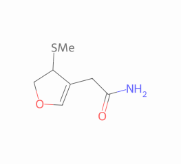 CSC1COC=C1CC(N)=O